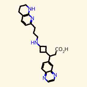 O=C(O)CC(c1ccc2nccnc2c1)C1CC(NCCCc2ccc3c(n2)NCCC3)C1